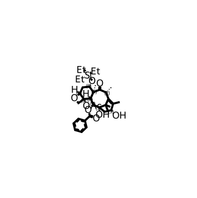 CC[Si](CC)(CC)O[C@H]1C[C@H]2OC[C@@]2(OC(C)=O)[C@H]2[C@H](OC(=O)c3ccccc3)[C@]3(O)C[C@H](O)C(C)=C([C@@H](C)C(=O)[C@]12C)C3(C)C